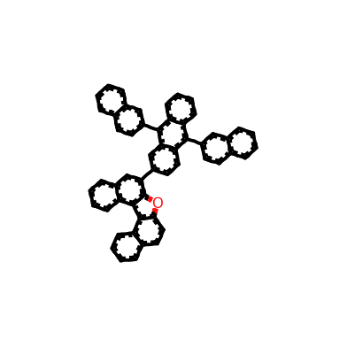 c1ccc2cc(-c3c4ccccc4c(-c4ccc5ccccc5c4)c4cc(-c5cc6ccccc6c6c5oc5ccc7ccccc7c56)ccc34)ccc2c1